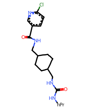 CCCNC(=O)NCC1CCC(CNC(=O)c2ccc(Cl)nc2)CC1